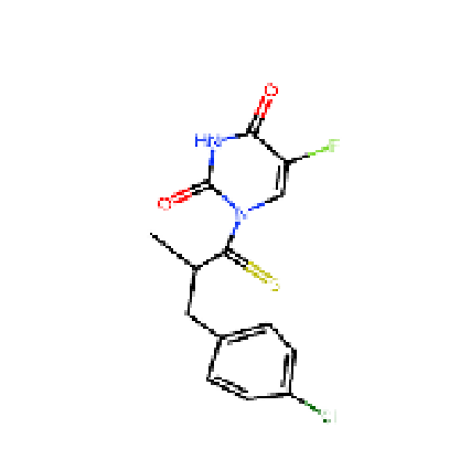 CC(Cc1ccc(Cl)cc1)C(=S)n1cc(F)c(=O)[nH]c1=O